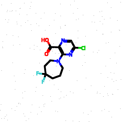 O=C(O)c1ncc(Cl)nc1N1CCCC(F)(F)CC1